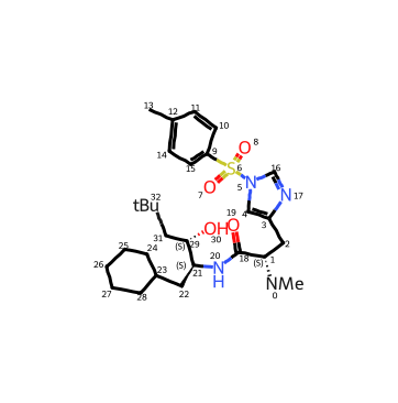 CN[C@@H](Cc1cn(S(=O)(=O)c2ccc(C)cc2)cn1)C(=O)N[C@@H](CC1CCCCC1)[C@@H](O)CC(C)(C)C